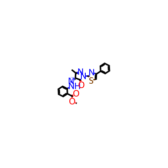 COC(=O)c1ccccc1N/N=C1\C(=O)N(c2nc(-c3ccccc3)cs2)N=C1C